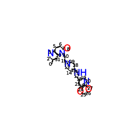 Cc1cnc2ccc(=O)n(CCN3CCC(NCc4cnc5c(c4)OCCO5)CC3)c2c1